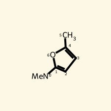 CNc1ccc(C)o1